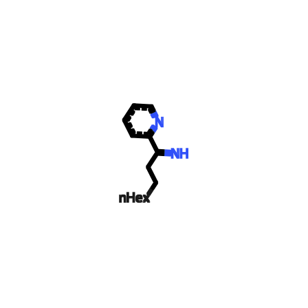 CCCCCCCCC(=N)c1ccccn1